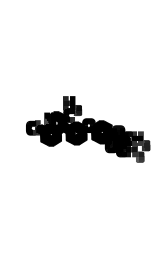 Cc1cnc2c(Cl)cccc2c1-c1cccc(Oc2ccc(S(=O)(=O)N(C)C)cc2)c1